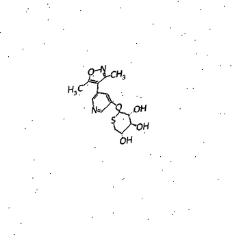 Cc1noc(C)c1-c1cncc(O[C@@H]2SC[C@@H](O)[C@H](O)[C@H]2O)c1